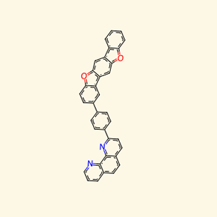 c1cnc2c(c1)ccc1ccc(-c3ccc(-c4ccc5oc6cc7c(cc6c5c4)oc4ccccc47)cc3)nc12